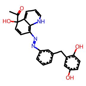 CC(=O)C1(O)C=CC(N=Nc2cccc(Cc3cc(O)ccc3O)c2)=C2NC=CC=C21